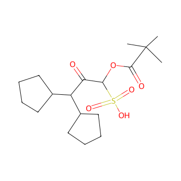 CC(C)(C)C(=O)OC(C(=O)C(C1CCCC1)C1CCCC1)S(=O)(=O)O